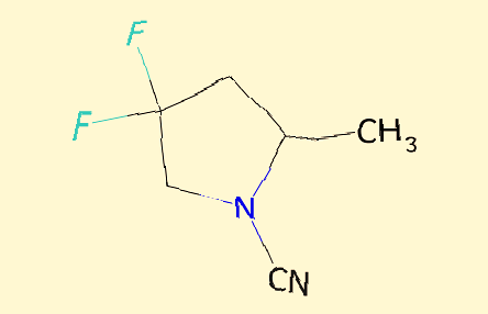 CC1CC(F)(F)CN1C#N